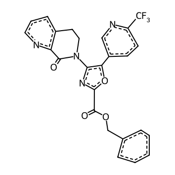 O=C(OCc1ccccc1)c1nc(N2CCc3cccnc3C2=O)c(-c2ccc(C(F)(F)F)nc2)o1